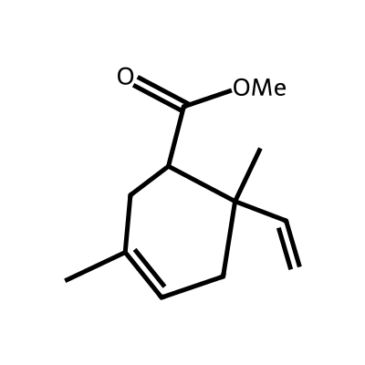 C=CC1(C)CC=C(C)CC1C(=O)OC